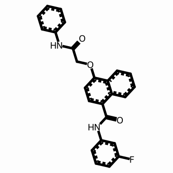 O=C(COc1ccc(C(=O)Nc2cccc(F)c2)c2ccccc12)Nc1ccccc1